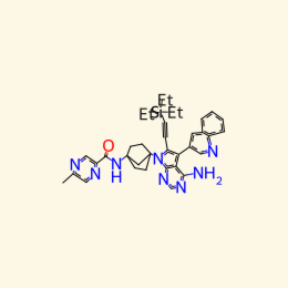 CC[Si](C#Cc1c(-c2cnc3ccccc3c2)c2c(N)ncnc2n1C12CCC(NC(=O)c3cnc(C)cn3)(CC1)C2)(CC)CC